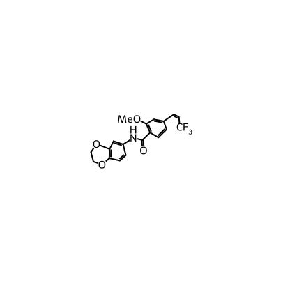 COc1cc(/C=C\C(F)(F)F)ccc1C(=O)Nc1ccc2c(c1)OCCO2